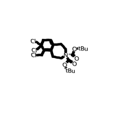 CC(C)(C)OC(=O)[N+]1(C(=O)OC(C)(C)C)CCC2=CCC(Cl)(Cl)C(CCl)=C2CC1